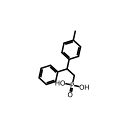 Cc1ccc(C(CP(=O)(O)O)c2ccccc2)cc1